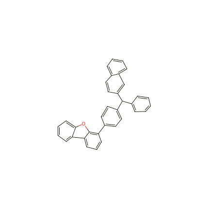 c1ccc(C(c2ccc(-c3cccc4c3oc3ccccc34)cc2)c2ccc3ccccc3c2)cc1